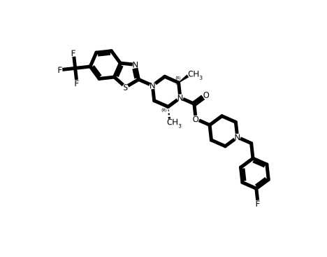 C[C@@H]1CN(c2nc3ccc(C(F)(F)F)cc3s2)C[C@@H](C)N1C(=O)OC1CCN(Cc2ccc(F)cc2)CC1